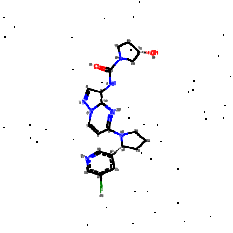 O=C(NC1C=NN2C=CC(N3CCC[C@@H]3c3cncc(F)c3)=NC12)N1CC[C@H](O)C1